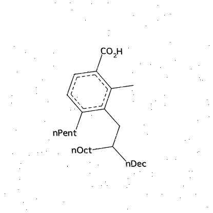 CCCCCCCCCCC(CCCCCCCC)Cc1c(CCCCC)ccc(C(=O)O)c1C